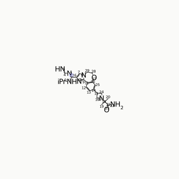 CC(C)N/C(=N\C=N)c1cn2c(n1)-c1ccc(C3CN(C(C)(C)C(N)=O)C3)cc1OCC2